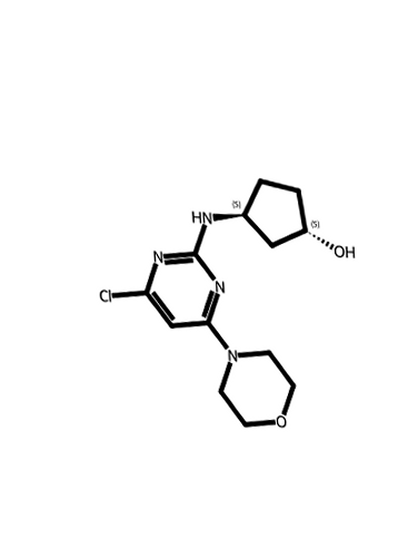 O[C@H]1CC[C@H](Nc2nc(Cl)cc(N3CCOCC3)n2)C1